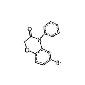 O=C1COc2ccc(Br)cc2N1c1ccccc1